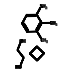 C1CCC1.Cc1cccc(N)c1C.OCCO